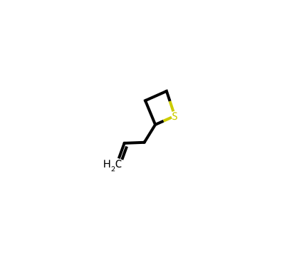 C=CCC1CCS1